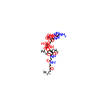 CCCC(=O)SCCNC(=O)CCNC(=O)C(O)C(C)(C)COP(=O)(O)OP(=O)(O)OCC1OC(n2cnc3c(N)ncnc32)C(O)C1OP(=O)(O)O